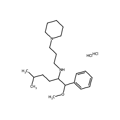 COC(c1ccccc1)C(CCC(C)C)NCCCN1CCCCC1.Cl.Cl